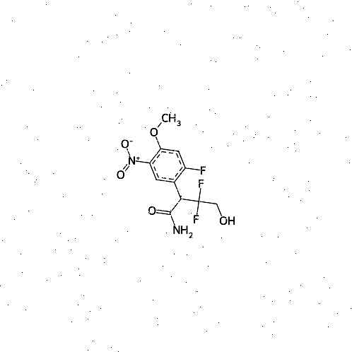 COc1cc(F)c([C](C(N)=O)C(F)(F)CO)cc1[N+](=O)[O-]